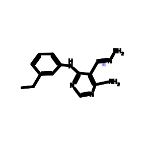 B/N=C/c1c(N)ncnc1Nc1cccc(CC)c1